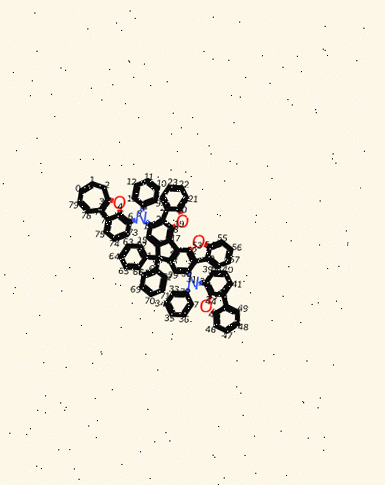 C1=CCc2oc3c(N(c4ccccc4)c4cc5c(c6oc7ccccc7c46)-c4c(cc(N(c6ccccc6)c6cccc7c6oc6ccccc67)c6c4oc4ccccc46)C5(c4ccccc4)c4ccccc4)cccc3c2C=C1